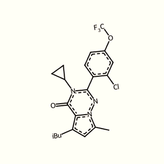 CCC(C)c1cc(C)n2nc(-c3ccc(OC(F)(F)F)cc3Cl)n(C3CC3)c(=O)c12